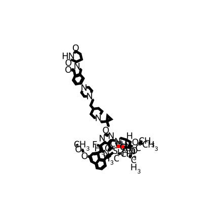 CCO[C@H]1C[C@H]2CN(c3nc(OCC4(CN5CCC(CCN6CCN(c7ccc8c(c7)CN([C@H]7CCC(=O)NC7=O)C8=O)CC6)CC5)CC4)nc4c(F)c(-c5cc(OCOC)cc6cccc(C#C[Si](C(C)C)(C(C)C)C(C)C)c56)ncc34)C[C@@H]1N2C(=O)OC(C)(C)C